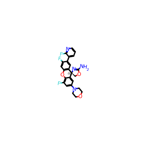 NC1=N[C@@]2(CO1)c1cc(-c3cccnc3F)c(F)cc1Oc1c(F)cc(N3CCOCC3)cc12